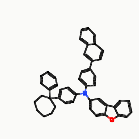 c1ccc(C2(c3ccc(N(c4ccc(-c5ccc6ccccc6c5)cc4)c4ccc5oc6ccccc6c5c4)cc3)CCCCCC2)cc1